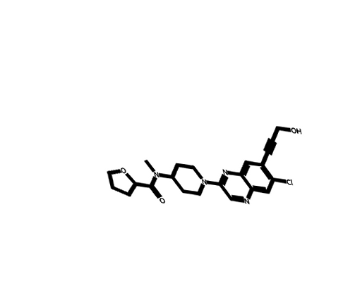 CN(C(=O)C1CCCO1)C1CCN(c2cnc3cc(Cl)c(C#CCO)cc3n2)CC1